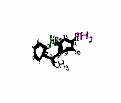 CC(c1ccccc1)c1ccc(P)cc1F